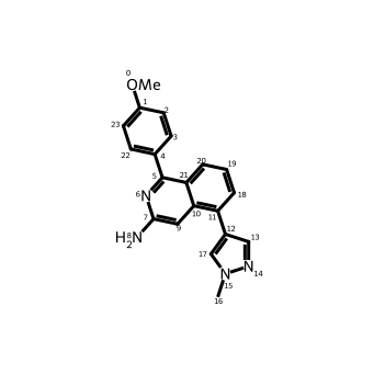 COc1ccc(-c2nc(N)cc3c(-c4cnn(C)c4)cccc23)cc1